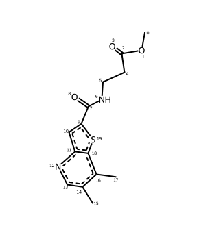 COC(=O)CCNC(=O)c1cc2ncc(C)c(C)c2s1